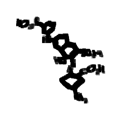 Nc1ccc(N=Nc2c(S(=O)(=O)O)cc3ccc(Nc4cccc(S(=O)(=O)O)c4)cc3c2O)c(C(=O)O)c1